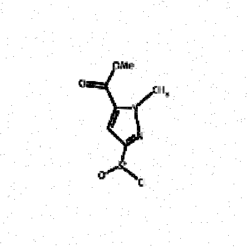 COC(=O)c1cc([S+]([O-])Cl)nn1C